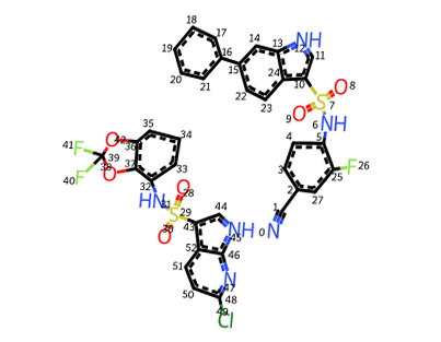 N#Cc1ccc(NS(=O)(=O)c2c[nH]c3cc(-c4ccccc4)ccc23)c(F)c1.O=S(=O)(Nc1cccc2c1OC(F)(F)O2)c1c[nH]c2nc(Cl)ccc12